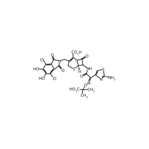 CC(C)(O/N=C(\C(=O)NC1C(=O)N2C(C(=O)O)=C(CN3C(=O)c4c(Cl)c(O)c(O)c(Cl)c4C3=O)CS[C@@H]12)c1csc(N)n1)C(=O)O